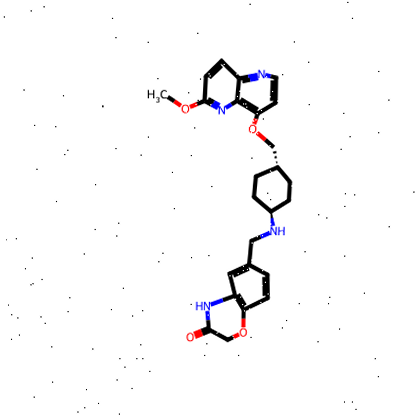 COc1ccc2nccc(OC[C@H]3CC[C@H](NCc4ccc5c(c4)NC(=O)CO5)CC3)c2n1